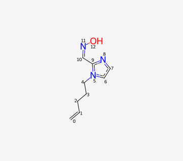 C=CCCCn1ccnc1/C=N\O